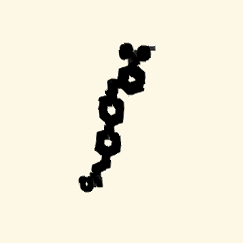 O=NCCC1CCN(C2CCN(Sc3cccc([N+](=O)[O-])c3)CC2)CC1